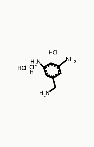 Cl.Cl.Cl.NCc1cc(N)cc(N)c1